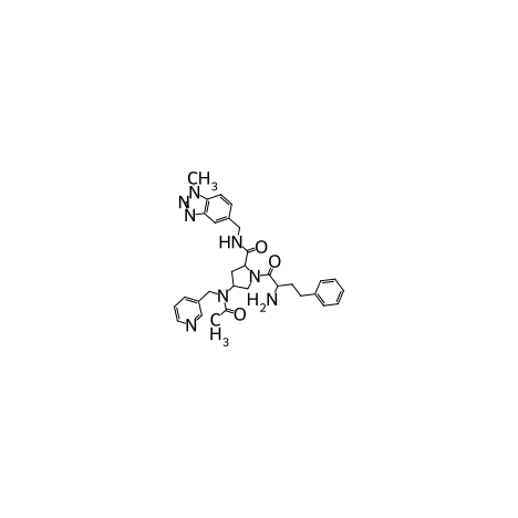 CC(=O)N(Cc1cccnc1)C1CC(C(=O)NCc2ccc3c(c2)nnn3C)N(C(=O)C(N)CCc2ccccc2)C1